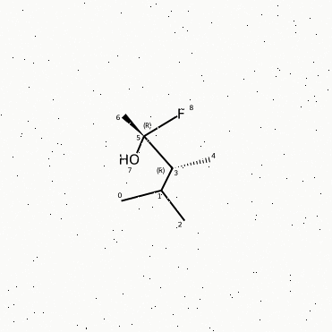 CC(C)[C@@H](C)[C@](C)(O)F